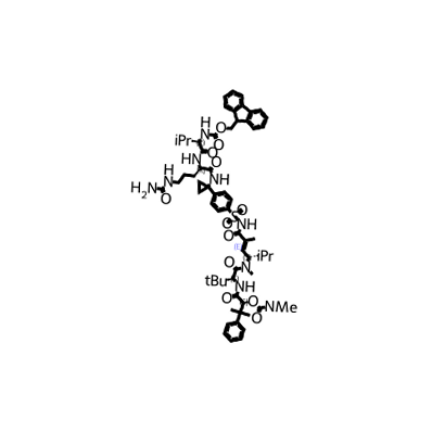 CNC(=O)O[C@H](C(=O)N[C@H](C(=O)N(C)[C@H](/C=C(\C)C(=O)NS(=O)(=O)c1ccc(C2(NC(=O)[C@@H](CCCNC(N)=O)NC(=O)[C@H](NC(=O)OCC3c4ccccc4-c4ccccc43)C(C)C)CC2)cc1)C(C)C)C(C)(C)C)C(C)(C)c1ccccc1